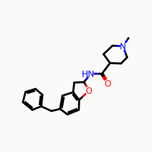 CN1CCC(C(=O)NC2Cc3cc(Cc4ccccc4)ccc3O2)CC1